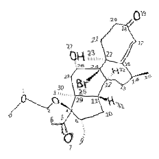 COCO[C@]1(C(C)=O)[C@@H](C)C[C@H]2[C@@H]3C[C@H](C)C4=CC(=O)CC[C@]4(C)[C@@]3(Br)[C@@H](O)C[C@@]21C